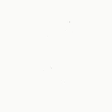 COc1ccccc1C(=O)Nc1ccc([S@+]([O-])CCC(=O)O)cc1